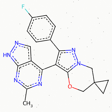 Cc1nc(-c2c(-c3ccc(F)cc3)nn3c2OCC2(CC2)C3)c2cn[nH]c2n1